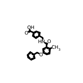 Cc1ccc(OCc2ccccc2)cc1C(=O)NCc1ccc(C(=O)O)cc1